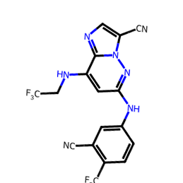 N#Cc1cc(Nc2cc(NCC(F)(F)F)c3ncc(C#N)n3n2)ccc1C(F)(F)F